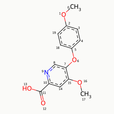 COc1ccc(Oc2cnc(C(=O)O)cc2OC)cc1